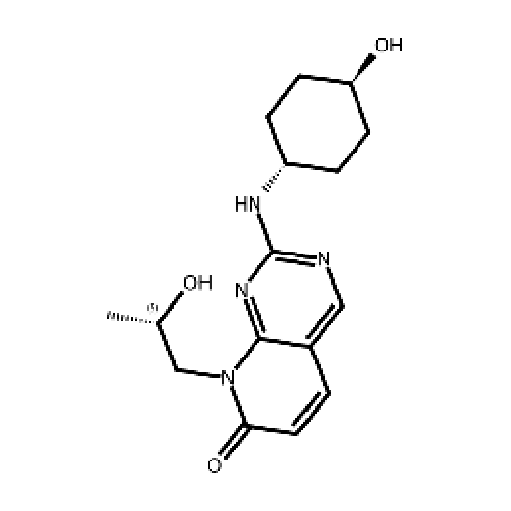 C[C@H](O)Cn1c(=O)ccc2cnc(N[C@H]3CC[C@H](O)CC3)nc21